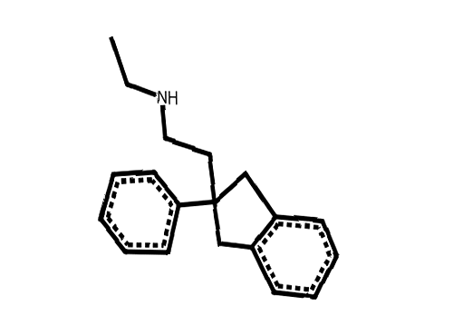 CCNCCC1(c2ccccc2)Cc2ccccc2C1